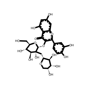 O=c1c(O[C@H]2O[C@H](CO)[C@@H](O)[C@H](O)[C@]2(O)C[C@H]2OC[C@@H](O)[C@@H](O)[C@@H]2O)c(-c2ccc(O)c(O)c2)oc2cc(O)cc(O)c12